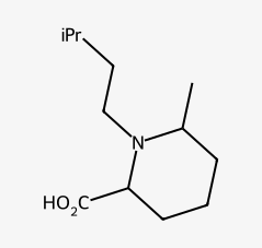 CC(C)CCN1C(C)CCCC1C(=O)O